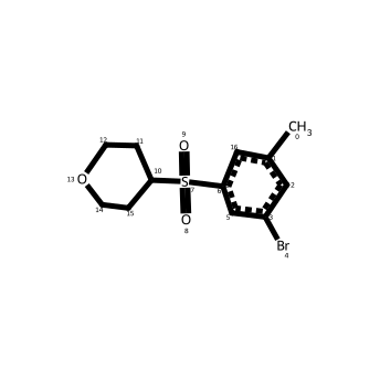 Cc1cc(Br)cc(S(=O)(=O)C2CCOCC2)c1